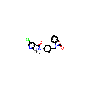 Cc1ncc(Cl)cc1C(=O)N[C@H]1CC[C@H](Cn2c(=O)oc3ccccc32)CC1